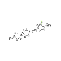 CCCc1ccc(C#C[C@H]2CC[C@H]([C@H]3CC[C@H](CC)CC3)CC2)cc1F